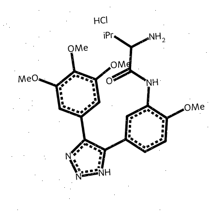 COc1ccc(-c2[nH]nnc2-c2cc(OC)c(OC)c(OC)c2)cc1NC(=O)C(N)C(C)C.Cl